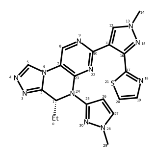 CC[C@@H]1c2nncn2-c2cnc(-c3cn(C)nc3-c3nccs3)nc2N1c1ccn(C)n1